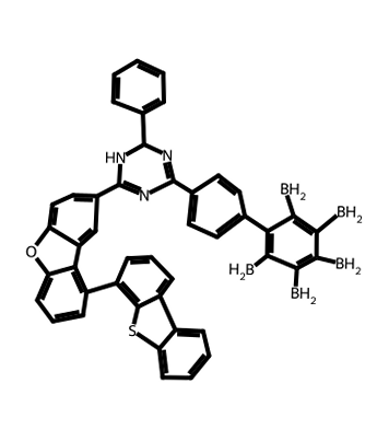 Bc1c(B)c(B)c(-c2ccc(C3=NC(c4ccccc4)NC(c4ccc5oc6cccc(-c7cccc8c7sc7ccccc78)c6c5c4)=N3)cc2)c(B)c1B